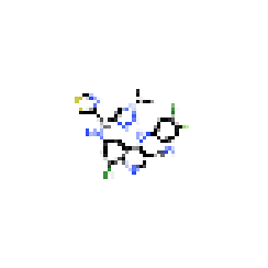 CC(C)n1cc([C@H](Nc2cc(Cl)c3ncc(C#N)c(Nc4ccc(F)c(Cl)c4)c3c2)c2cscn2)nn1